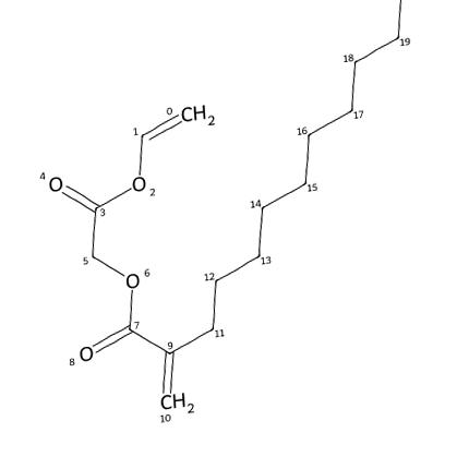 C=COC(=O)COC(=O)C(=C)CCCCCCCCCCCCCCCCCCC